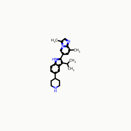 Cc1cc(-c2[nH]c3ccc(C4CCNCC4)cc3c2C(C)C)cn2c(C)cnc12